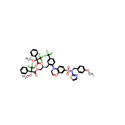 COc1ccc(CN(c2nccs2)S(=O)(=O)c2ccc3c(c2)OCCN3c2ccc(C(F)(F)F)cc2C[C@@H](COC(=O)[C@@](OC)(c2ccccc2)C(F)(F)F)OC(=O)C(OC)(c2ccccc2)C(F)(F)F)cc1